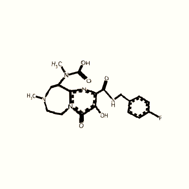 CN1CCn2c(nc(C(=O)NCc3ccc(F)cc3)c(O)c2=O)C(N(C)C(=O)O)C1